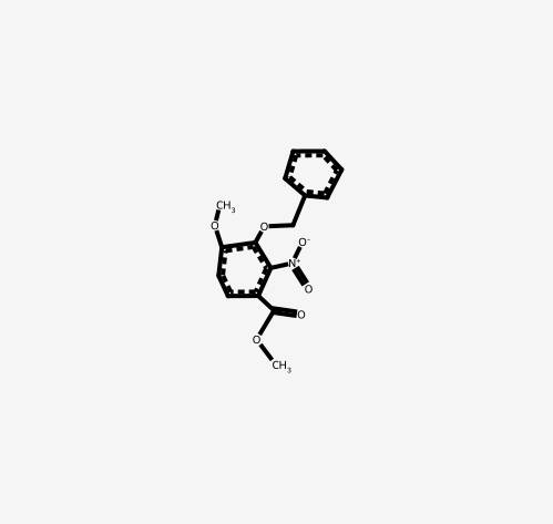 COC(=O)c1ccc(OC)c(OCc2ccccc2)c1[N+](=O)[O-]